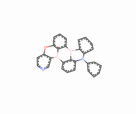 c1ccc(N2c3ccccc3B3c4cccc5c4B(c4cnccc4O5)c4cccc2c43)cc1